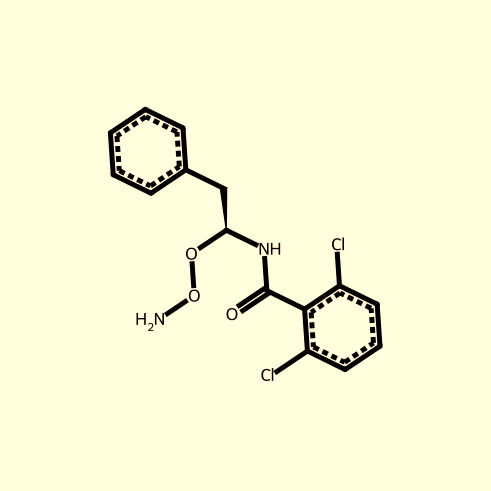 NOO[C@@H](Cc1ccccc1)NC(=O)c1c(Cl)cccc1Cl